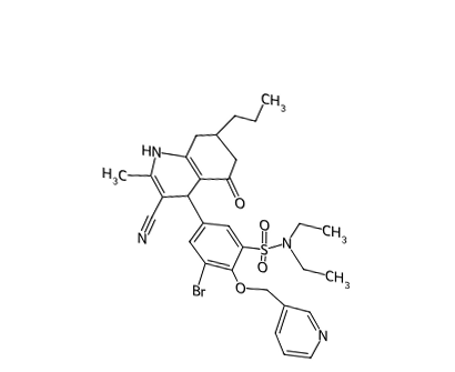 CCCC1CC(=O)C2=C(C1)NC(C)=C(C#N)C2c1cc(Br)c(OCc2cccnc2)c(S(=O)(=O)N(CC)CC)c1